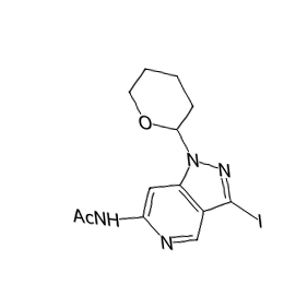 CC(=O)Nc1cc2c(cn1)c(I)nn2C1CCCCO1